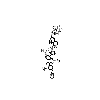 Cc1c(Nc2nccc3cc(CNCC(C)O)cnc23)cccc1-c1cccc(-c2nc3cc(CN4CCCC4)cc(C#N)c3o2)c1C